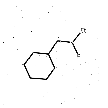 CCC(F)CC1[CH]CC[CH]C1